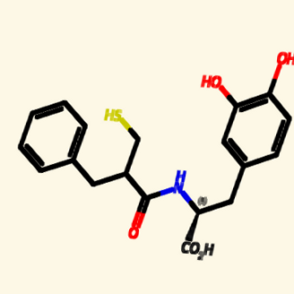 O=C(N[C@@H](Cc1ccc(O)c(O)c1)C(=O)O)C(CS)Cc1ccccc1